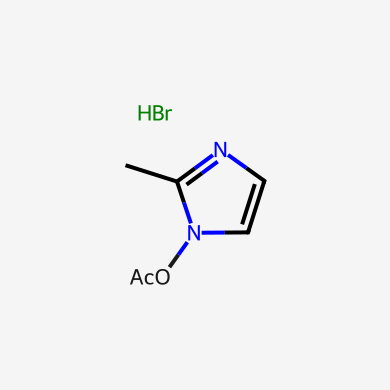 Br.CC(=O)On1ccnc1C